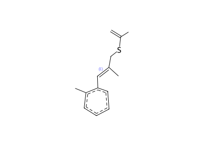 C=C(C)SC/C(C)=C/c1ccccc1C